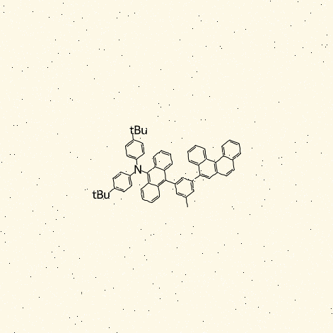 Cc1cc(-c2c3ccccc3c(N(c3ccc(C(C)(C)C)cc3)c3ccc(C(C)(C)C)cc3)c3ccccc23)cc(-c2cc3ccc4ccccc4c3c3ccccc23)c1